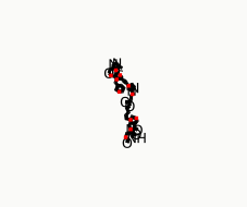 Cc1nnc2n1-c1sc(C#Cc3cnn(CCCC(=O)OCC/C=C\c4cccc5c4CN(C4CCC(=O)NC4=O)C5=O)c3)c(Cc3ccccc3)c1COC2